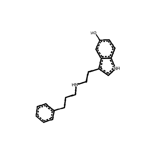 Oc1ccc2[nH]cc(CCNCCCc3ccccc3)c2c1